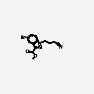 COC(=O)c1nn(CCCC#N)c2ccc(Br)cc12